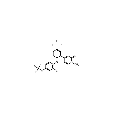 Cn1ccc(N2C=C(C(F)(F)F)C=CC2Oc2ccc(OC(F)(F)F)cc2Cl)cc1=O